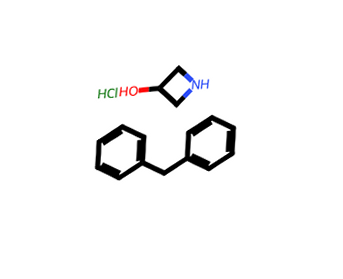 Cl.OC1CNC1.c1ccc(Cc2ccccc2)cc1